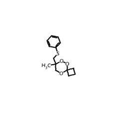 CC1(CSc2ccccc2)COC2(CCC2)OO1